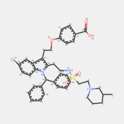 CC1CCCN(CCS(=O)(=O)NCCc2c(CCOc3ccc(C(=O)O)cc3)c3cc(Cl)ccc3n2C(c2ccccc2)c2ccccc2)C1